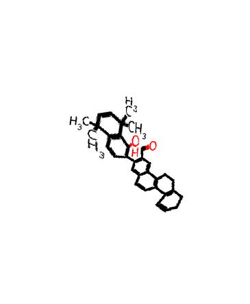 CC1(C)C=CC(C)(C)c2c1ccc(-c1cc3ccc4c(c3cc1C=O)CCC1=C4C=CCC1)c2O